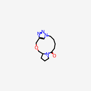 O=C1CCCCn2cc(nn2)COCC2CCCN12